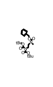 CN(CCN(C(=O)OC(C)(C)C)C(=O)OC(C)(C)C)C(=O)OCc1ccccc1